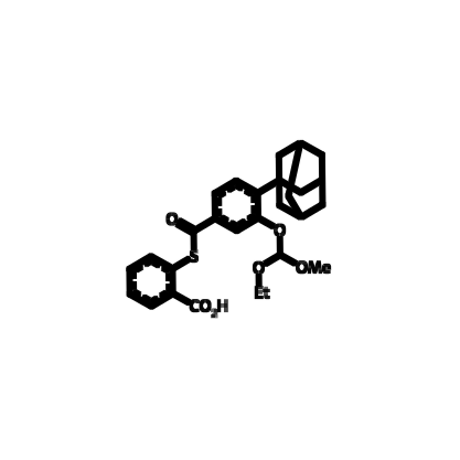 CCOC(OC)Oc1cc(C(=O)Sc2ccccc2C(=O)O)ccc1C12CC3CC(CC(C3)C1)C2